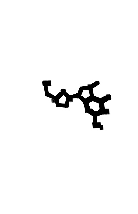 CN1CN([C@H]2CC[C@@H](CO)O2)c2nc(N)[nH]c(=O)c21